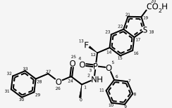 C[C@H](NP(=O)(Oc1ccccc1)[C@@H](F)c1ccc2sc(C(=O)O)cc2c1)C(=O)OCc1ccccc1